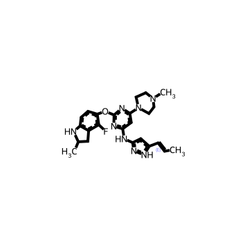 C/C=C/c1cc(Nc2cc(N3CCN(C)CC3)nc(Oc3ccc4c(c3F)CC(C)N4)n2)n[nH]1